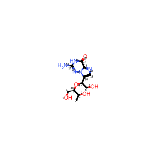 CC(O)[C@@H](CO)OC(CO)c1cnc2c(=O)[nH]c(N)nn12